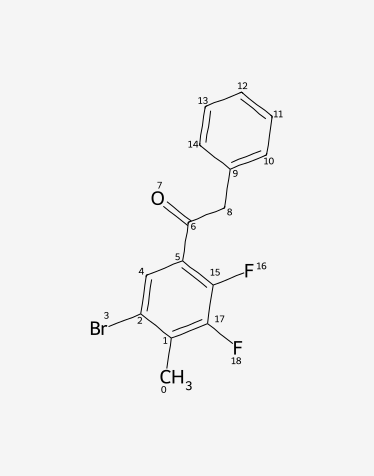 Cc1c(Br)cc(C(=O)Cc2ccccc2)c(F)c1F